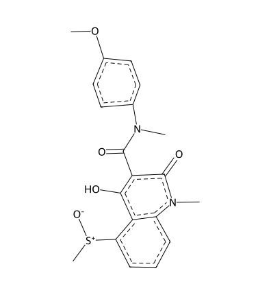 COc1ccc(N(C)C(=O)c2c(O)c3c([S+](C)[O-])cccc3n(C)c2=O)cc1